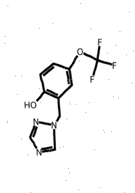 Oc1ccc(OC(F)(F)F)cc1Cn1cncn1